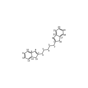 C1=C(CCCCCC2=Cc3ccccc3C2)Cc2ccccc21